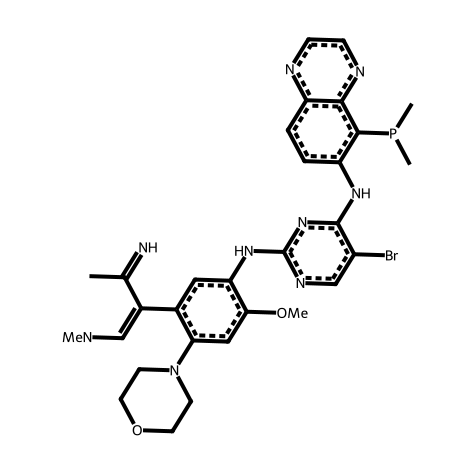 CN/C=C(\C(C)=N)c1cc(Nc2ncc(Br)c(Nc3ccc4nccnc4c3P(C)C)n2)c(OC)cc1N1CCOCC1